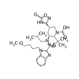 COCCCCn1c(C(=O)N(CC(C)C)[C@H]2C[C@@H](c3noc(=O)[nH]3)CN(C(=O)O)C2C(C)(C)C)nc2ccccc21